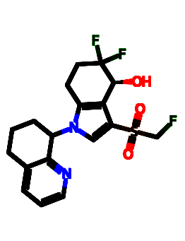 O=S(=O)(CF)c1cn(C2CCCc3cccnc32)c2c1[C@H](O)C(F)(F)CC2